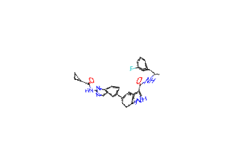 CC(NC(=O)c1c[nH]c2ccc(-c3ccc4nc(NC(=O)C5CC5)ncc4c3)cc12)c1cccc(F)c1